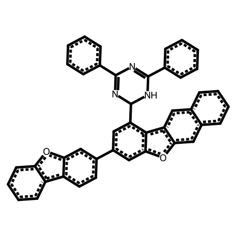 c1ccc(C2=NC(c3cc(-c4ccc5c(c4)oc4ccccc45)cc4oc5cc6ccccc6cc5c34)NC(c3ccccc3)=N2)cc1